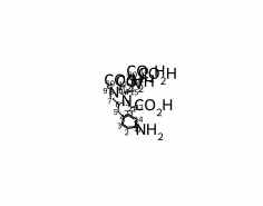 Nc1ccc(CC(CN(CC(=O)O)CC(=O)O)N(CCN(CC(=O)O)CC(=O)O)CC(=O)O)cc1